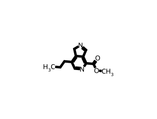 CCCc1cnc(C(=O)OC)c2c1CN=C2